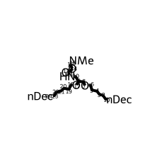 CCCCCCCCCCCCCCCCOCC(CNC(=O)OCNC)OCCCCCCCCCCCCCCCC